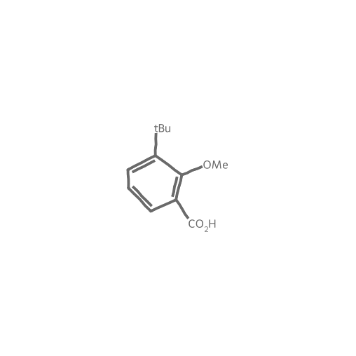 COc1c(C(=O)O)cccc1C(C)(C)C